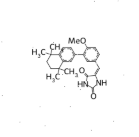 COc1ccc(C=C2NC(=O)NC2=O)cc1-c1ccc2c(c1)C(C)(C)CCC2(C)C